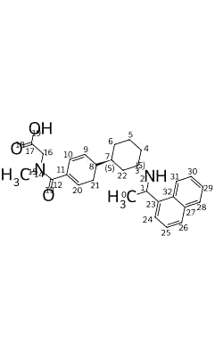 CC(N[C@H]1CCC[C@H](C2C=CC(C(=O)N(C)CC(=O)O)=CC2)C1)c1cccc2ccccc12